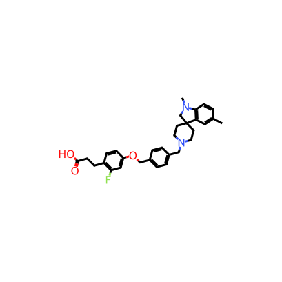 Cc1ccc2c(c1)C1(CCN(Cc3ccc(COc4ccc(CCC(=O)O)c(F)c4)cc3)CC1)CN2C